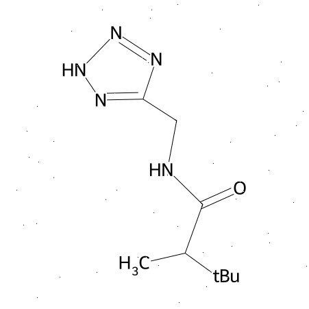 CC(C(=O)NCc1nn[nH]n1)C(C)(C)C